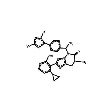 CCn1cc(C(F)(F)F)nc1-c1ccc(C(C)N2C(=O)C(C)Cn3nc(-c4c(OC)ncnc4C4CC4)nc32)cc1